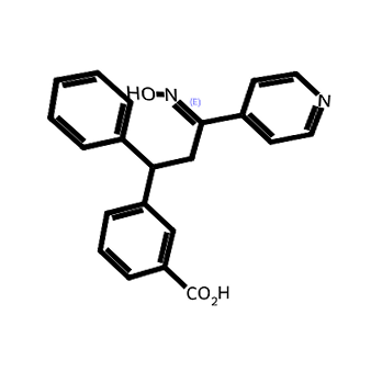 O=C(O)c1cccc(C(C/C(=N\O)c2ccncc2)c2ccccc2)c1